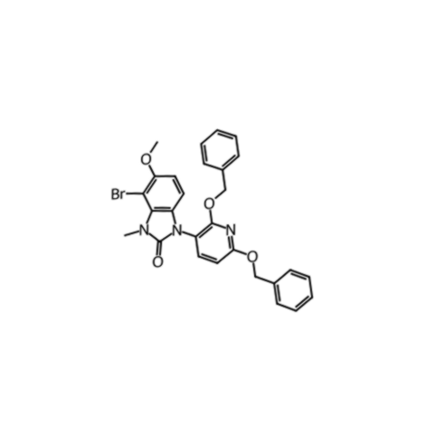 COc1ccc2c(c1Br)n(C)c(=O)n2-c1ccc(OCc2ccccc2)nc1OCc1ccccc1